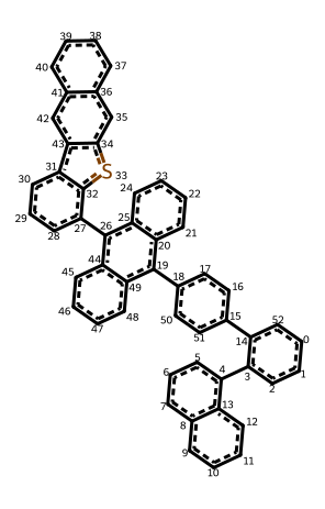 c1ccc(-c2cccc3ccccc23)c(-c2ccc(-c3c4ccccc4c(-c4cccc5c4sc4cc6ccccc6cc45)c4ccccc34)cc2)c1